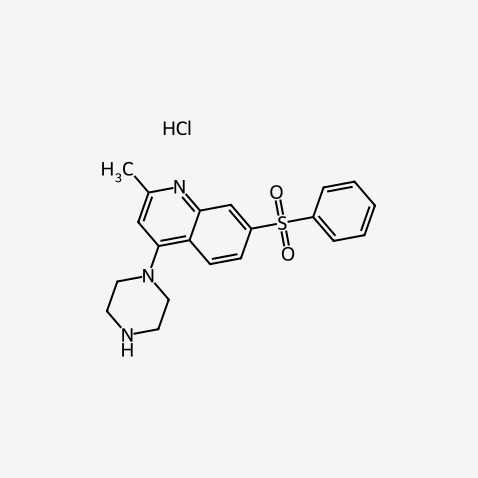 Cc1cc(N2CCNCC2)c2ccc(S(=O)(=O)c3ccccc3)cc2n1.Cl